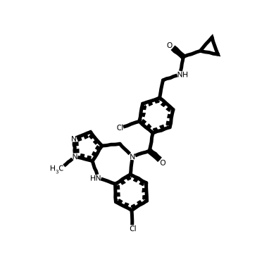 Cn1ncc2c1Nc1cc(Cl)ccc1N(C(=O)c1ccc(CNC(=O)C3CC3)cc1Cl)C2